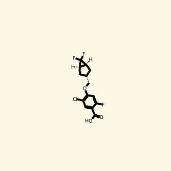 O=C(O)c1cc(Cl)c(OC[C@@H]2C[C@@H]3[C@H](C2)C3(F)F)cc1F